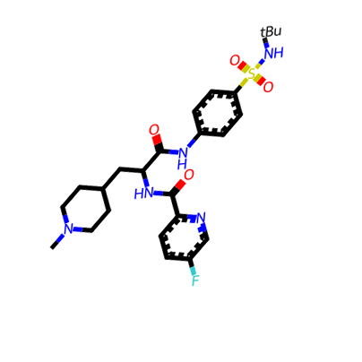 CN1CCC(CC(NC(=O)c2ccc(F)cn2)C(=O)Nc2ccc(S(=O)(=O)NC(C)(C)C)cc2)CC1